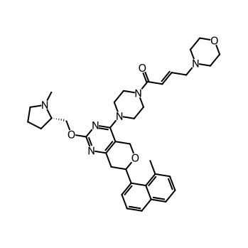 Cc1cccc2cccc(C3Cc4nc(OC[C@@H]5CCCN5C)nc(N5CCN(C(=O)/C=C/CN6CCOCC6)CC5)c4CO3)c12